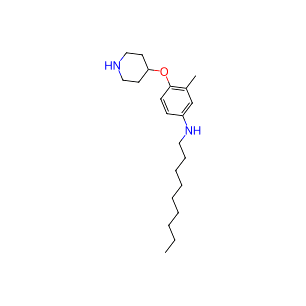 CCCCCCCCCNc1ccc(OC2CCNCC2)c(C)c1